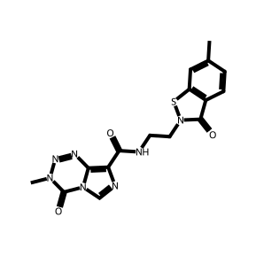 Cc1ccc2c(=O)n(CCNC(=O)c3ncn4c(=O)n(C)nnc34)sc2c1